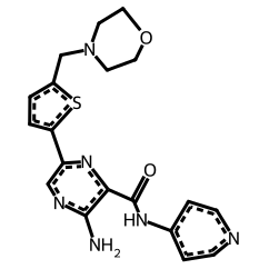 Nc1ncc(-c2ccc(CN3CCOCC3)s2)nc1C(=O)Nc1ccncc1